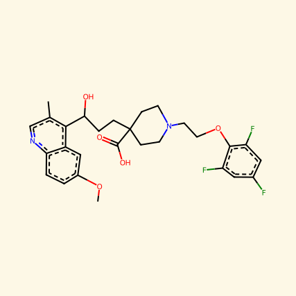 COc1ccc2ncc(C)c(C(O)CCC3(C(=O)O)CCN(CCOc4c(F)cc(F)cc4F)CC3)c2c1